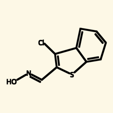 ON=Cc1sc2ccccc2c1Cl